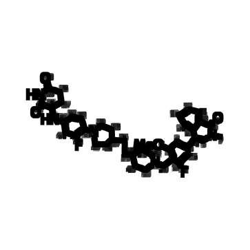 COc1cc(-c2cn(C)c(=O)c3ccccc23)cc(F)c1CN1CCC(CCC2CCN(c3ccc(NC4CCC(=O)NC4=O)cc3F)CC2)CC1